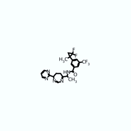 CC(NC(=O)c1cc(C(F)(F)F)cc(C2(C)CC2(F)F)c1)C1=NC=NC(c2ncccn2)CC1